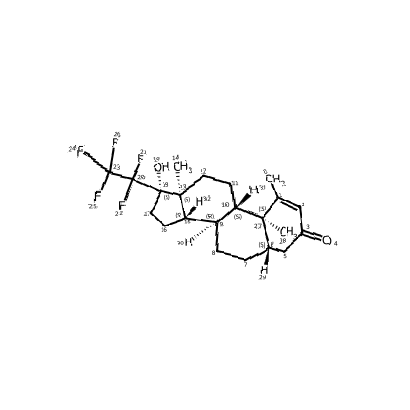 CC1=CC(=O)C[C@@H]2CC[C@@H]3[C@H](CC[C@@]4(C)[C@H]3CC[C@@]4(O)C(F)(F)C(F)(F)F)[C@@]12C